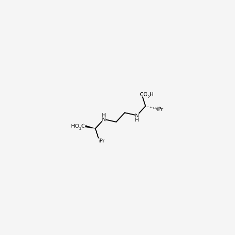 CC(C)[C@H](NCCN[C@H](C(=O)O)C(C)C)C(=O)O